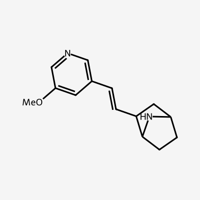 COc1cncc(C=CC2CC3CCC2N3)c1